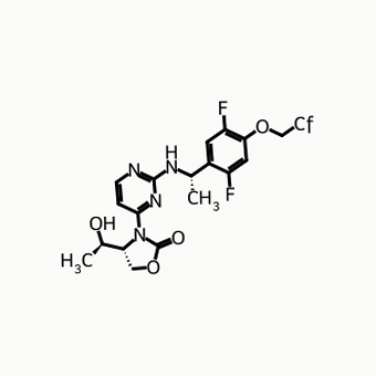 C[C@H](Nc1nccc(N2C(=O)OC[C@@H]2[C@@H](C)O)n1)c1cc(F)c(O[CH2][Cf])cc1F